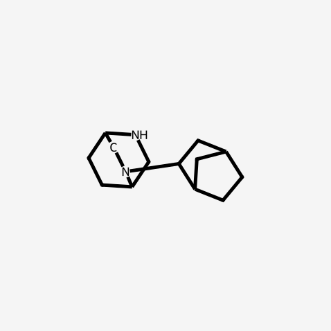 C1CC2CC1CC2N1CC2CCC1CN2